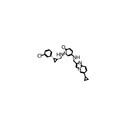 O=c1ccc(NCc2cn3cc(C4CC4)ccc3n2)cn1NC[C@H]1C[C@@H]1c1cccc(Cl)c1